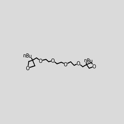 CCCCC1(COCCOCCOCCOCC2(CCCC)COC2)COC1